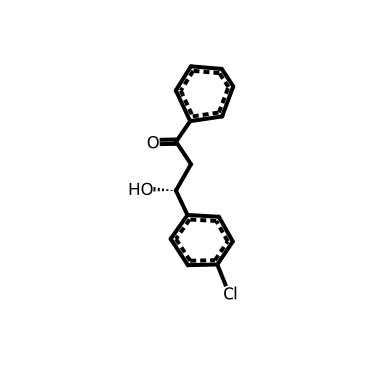 O=C(C[C@@H](O)c1ccc(Cl)cc1)c1ccccc1